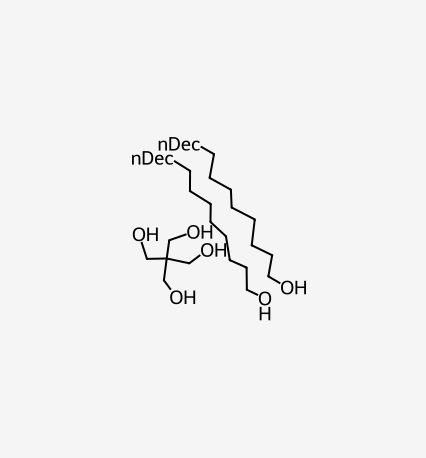 CCCCCCCCCCCCCCCCCCO.CCCCCCCCCCCCCCCCCCO.OCC(CO)(CO)CO